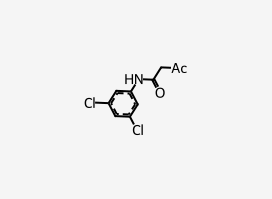 CC(=O)CC(=O)Nc1cc(Cl)cc(Cl)c1